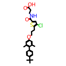 Cc1cc(OCCCc2sc(C(=O)NCCC(=O)O)cc2Cl)cc(C)c1-c1ccc(C(C)(C)C)cc1